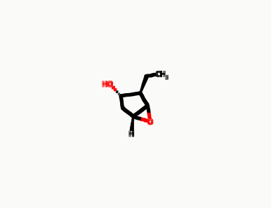 CC[C@H]1C2O[C@@H]2C[C@@H]1O